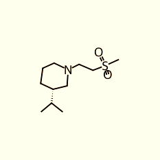 CC(C)[C@@H]1CCCN(CCS(C)(=O)=O)C1